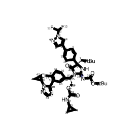 CC(C)(C)C[C@]1(C2C=CC(c3cnn(C(F)F)c3)=CC2)N/C(=N\C(=O)OC(C)(C)C)N([C@H](COC(=O)NC2CC2)c2ccc(Cl)c(-c3ncnn3C3CC3)c2)C1=O